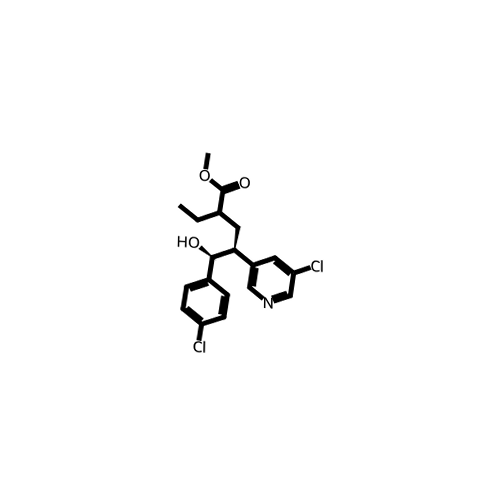 CCC(C[C@@H](c1cncc(Cl)c1)[C@H](O)c1ccc(Cl)cc1)C(=O)OC